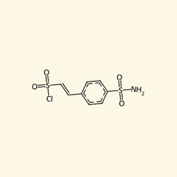 NS(=O)(=O)c1ccc(C=CS(=O)(=O)Cl)cc1